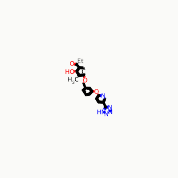 CCC(=O)c1ccc(OCc2cccc(Oc3ccc(-c4nnn[nH]4)cn3)c2)c(C)c1O